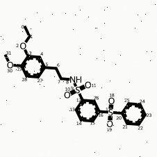 CCOc1cc(CCNS(=O)(=O)c2cccc(S(=O)(=O)c3ccccc3)c2)ccc1OC